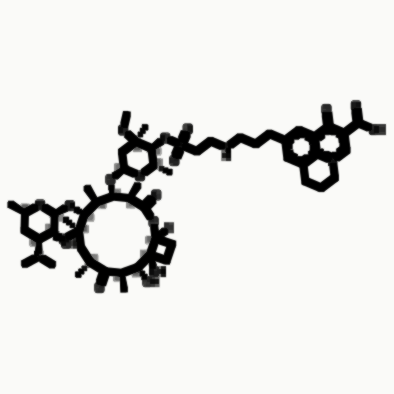 CO[C@]1(C)C[C@@H](C)C(=O)[C@H](C)[C@@H](O)[C@@]2(O)CC[C@H]2OC(=O)[C@H](C)[C@@H](O[C@H]2C[C@@](C)(OC)[C@@H](OS(=O)(=O)CCNCCCc3cc4c5c(c3)c(=O)c(C(=O)O)cn5CCC4)[C@H](C)O2)[C@H](C)[C@H]1O[C@@H]1O[C@H](C)C[C@H](N(C)C)[C@H]1O